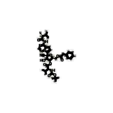 CC(C)[C@H](NC(=O)OC(C)(C)C)C(=O)O[C@H]1[C@@H](O)[C@](C#N)(c2ccc3c(NC(=O)[C@H](C)C(C)C)ncnn23)O[C@@H]1COC(=O)Cc1ccccc1